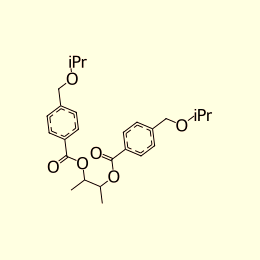 CC(C)OCc1ccc(C(=O)OC(C)C(C)OC(=O)c2ccc(COC(C)C)cc2)cc1